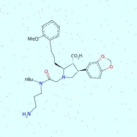 CCCCN(CCCN)C(=O)CN1C[C@H](c2ccc3c(c2)OCO3)[C@@H](C(=O)O)[C@@H]1CCCc1ccccc1OC